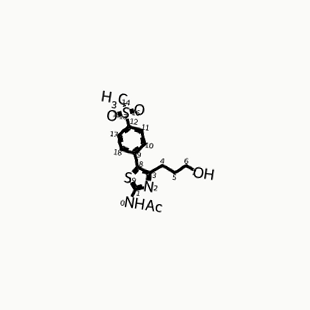 CC(=O)Nc1nc(CCCO)c(-c2ccc(S(C)(=O)=O)cc2)s1